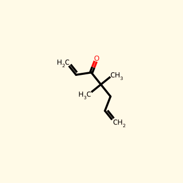 C=CCC(C)(C)C(=O)C=C